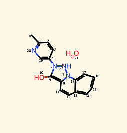 Cc1ccc(N2NN3C(=C2O)C=Cc2ccccc23)cn1.O